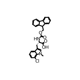 Cn1cc(C[C@H](NC(=O)OCC2c3ccccc3-c3ccccc32)C(=O)O)c2cccc(Cl)c21